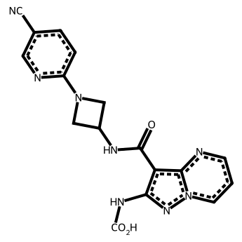 N#Cc1ccc(N2CC(NC(=O)c3c(NC(=O)O)nn4cccnc34)C2)nc1